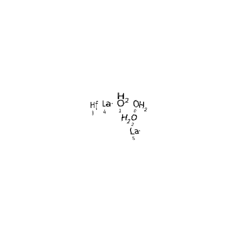 O.O.O.[Hf].[La].[La]